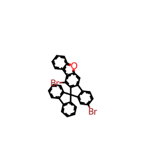 Brc1ccc2c(c1)C1(c3ccccc3-c3ccccc31)c1c-2cc2oc3ccccc3c2c1Br